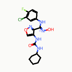 O=C(Nc1conc1/C(=N/O)Nc1ccc(F)c(Cl)c1)NC1CCCCC1